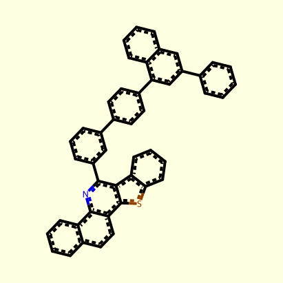 c1ccc(-c2cc(-c3ccc(-c4cccc(-c5nc6c7ccccc7ccc6c6sc7ccccc7c56)c4)cc3)c3ccccc3c2)cc1